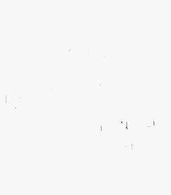 C=Cc1cccc(C[N+](CC)(CC)CC)c1.[Cl-]